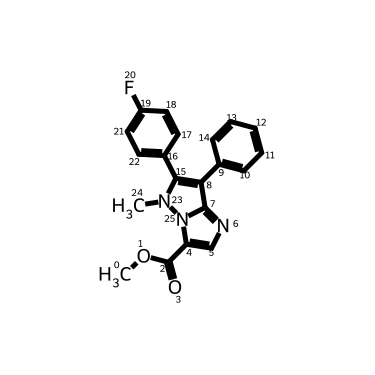 COC(=O)c1cnc2c(-c3ccccc3)c(-c3ccc(F)cc3)n(C)n12